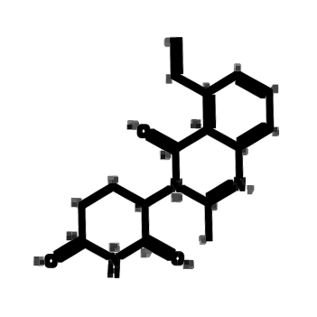 C=Cc1cccc2nc(C)n(C3CCC(=O)NC3=O)c(=O)c12